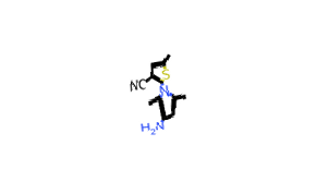 Cc1cc(C#N)c(-n2c(C)cc(N)c2C)s1